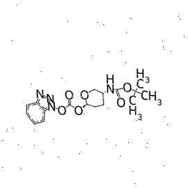 CC(C)(C)OC(=O)N[C@@H]1CC[C@@H](OC(=O)On2nnc3ccccc32)OC1